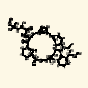 CCn1c(-c2cccnc2[C@H](C)OC)c2c3cc(ccc31)-c1csc(n1)C[C@H](NC(=O)N(C)CC(C)(C)OC)C(=O)N1CCC[C@H](N1)C(=O)OCC(C)(C)C2